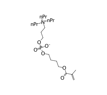 C=C(C)C(=O)OCCCCOP(=O)([O-])OCCC[N+](CCC)(CCC)CCC